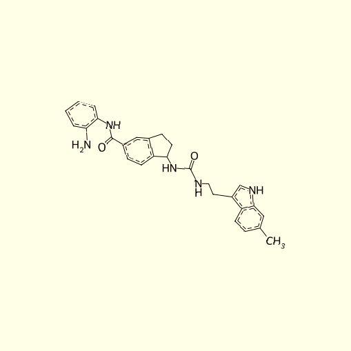 Cc1ccc2c(CCNC(=O)NC3CCc4cc(C(=O)Nc5ccccc5N)ccc43)c[nH]c2c1